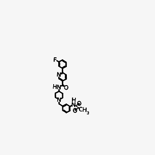 CS(=O)(=O)Nc1cccc(CN2CCC(NC(=O)c3ccc(-c4cccc(F)c4)nc3)CC2)c1